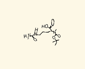 CN(C(=O)OC(C)(C)C)[C@@H](CCCNC(N)=O)C(=O)O